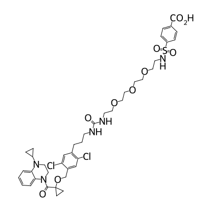 O=C(NCCCc1cc(Cl)c(COC2(C(=O)N3CCN(C4CC4)c4ccccc43)CC2)cc1Cl)NCCOCCOCCOCCNS(=O)(=O)c1ccc(C(=O)O)cc1